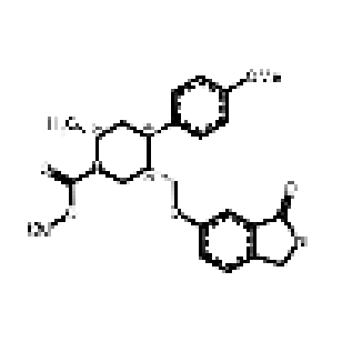 COc1ccc([C@@H]2C[C@@H](C)N(C(=O)OC(C)(C)C)C[C@H]2COc2ccc3c(c2)C(=O)NC3)cc1